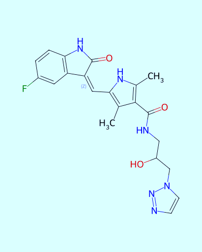 Cc1[nH]c(/C=C2\C(=O)Nc3ccc(F)cc32)c(C)c1C(=O)NCC(O)Cn1ccnn1